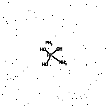 N[PH](O)(O)O.P